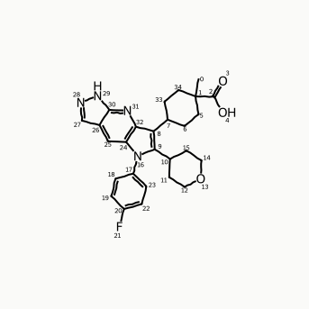 CC1(C(=O)O)CCC(c2c(C3CCOCC3)n(-c3ccc(F)cc3)c3cc4cn[nH]c4nc23)CC1